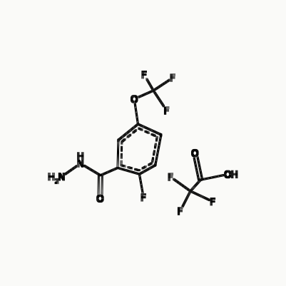 NNC(=O)c1cc(OC(F)(F)F)ccc1F.O=C(O)C(F)(F)F